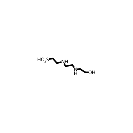 O=S(=O)(O)CCNCCNCCO